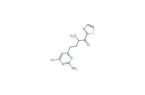 Nc1nc(Cl)cc(CCC(N)C(=O)c2nccs2)n1